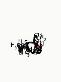 COc1nn(C)cc1C(=O)N[S@@]1(=O)=NC(=O)c2ccc3c(c2)N(C[C@@H]2CC[C@H]2[C@](O)(C#CCN(C)C)/C=C\C[C@H](C)C1)C[C@@]1(CCCc2cc(Cl)ccc21)CO3